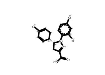 O=C(O)C1=NN(c2ccc(Cl)cc2Cl)[C@@H](C2C=CC(Cl)=CC2)C1